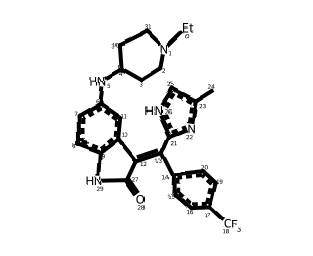 CCN1CCC(Nc2ccc3c(c2)C(=C(c2ccc(C(F)(F)F)cc2)c2nc(C)c[nH]2)C(=O)N3)CC1